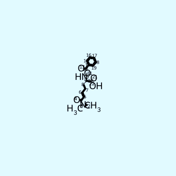 CN(C)C(=O)/C=C/CC[C@H](NOC(=O)c1ccccc1)C(=O)O